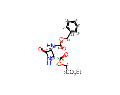 CCOC(=O)COC(=O)[C@@H]1NC(=O)[C@@H]1NC(=O)OCc1ccccc1